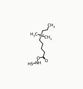 CCC[N+](C)(C)CCCCC(=O)ONS